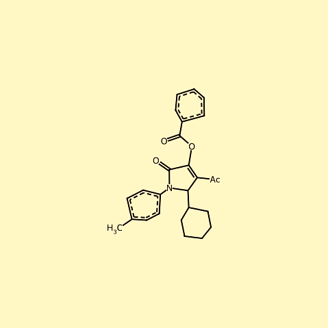 CC(=O)C1=C(OC(=O)c2ccccc2)C(=O)N(c2ccc(C)cc2)C1C1CCCCC1